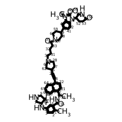 Cc1ccc(N[C@H]2CNCC2(F)F)cc1C(=O)N[C@H](C)c1ccc(C#CC2CCN(CCCCC(=O)N3CCC(c4ccc5c(c4)n(C)c(=O)n5C4CCC(=O)NC4=O)CC3)CC2)c2ccccc12